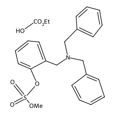 CCOC(=O)O.COS(=O)(=O)Oc1ccccc1CN(Cc1ccccc1)Cc1ccccc1